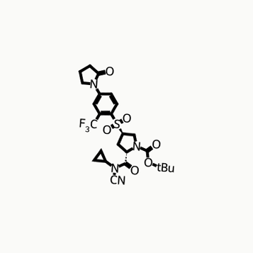 CC(C)(C)OC(=O)N1C[C@H](S(=O)(=O)c2ccc(N3CCCC3=O)cc2C(F)(F)F)C[C@H]1C(=O)N(C#N)C1CC1